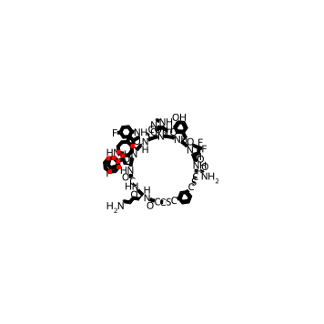 NCCCC[C@@H]1NC(=O)CCSCc2cccc(c2)CSC[C@@H](C(N)=O)NC(=O)[C@@H]2CC(F)(F)CN2C(=O)[C@H](Cc2ccc(O)cc2)NC(=O)[C@H](Cc2cnc[nH]2)NC(=O)[C@H](CC(=O)O)NC(=O)[C@H](CC2CNC3CCC(F)CC23C2CCCCCCC2)NC(=O)[C@H](CC2(C3CCCCCCC3)CNc3ccc(F)cc32)NC(=O)CNC1=O